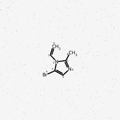 C=Cn1c(Br)cnc1C